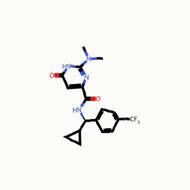 CN(C)c1nc(C(=O)N[C@@H](c2ccc(C(F)(F)F)cc2)C2CC2)cc(=O)[nH]1